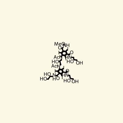 CONC(=O)c1c(I)c(C(=O)NCC(O)CO)c(I)c(N(CC(O)CN(C(C)=O)c2c(I)c(C(=O)NCC(O)CO)c(I)c(C(=O)NCC(O)CO)c2I)C(C)=O)c1I